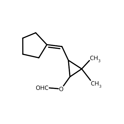 CC1(C)C(C=C2CCCC2)C1OC=O